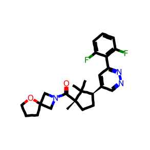 CC1(C)[C@@H](c2cnnc(-c3c(F)cccc3F)c2)CC[C@]1(C)C(=O)N1CC2(CCCO2)C1